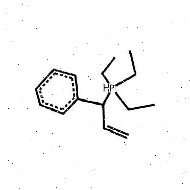 C=CC(c1ccccc1)[PH](CC)(CC)CC